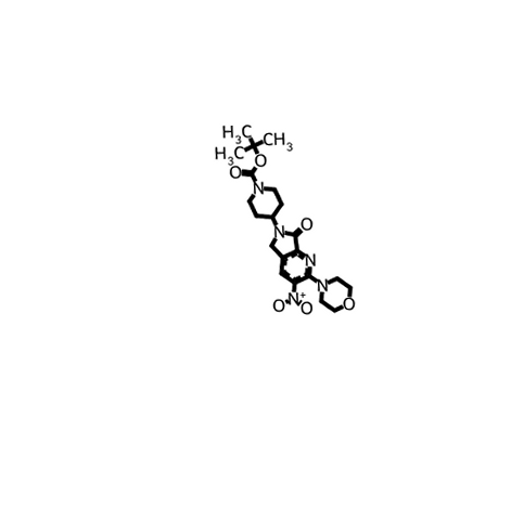 CC(C)(C)OC(=O)N1CCC(N2Cc3cc([N+](=O)[O-])c(N4CCOCC4)nc3C2=O)CC1